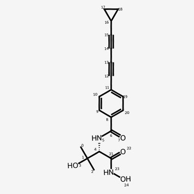 CC(C)(O)[C@H](NC(=O)c1ccc(C#CC#CC2CC2)cc1)C(=O)NO